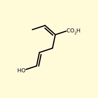 CC=C(CC=CO)C(=O)O